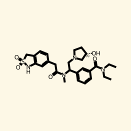 CCN(CC)C(=O)c1cccc(C(CN2CC[C@H](O)C2)N(C)C(=O)Cc2ccc3c(c2)NS(=O)(=O)C3)c1